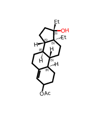 CC[C@]1(O)CC[C@H]2[C@@H]3CCC4=CC(OC(C)=O)CC[C@@H]4[C@H]3CC[C@@]21CC